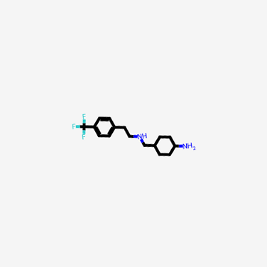 NC1CCC(CNCCc2ccc(C(F)(F)F)cc2)CC1